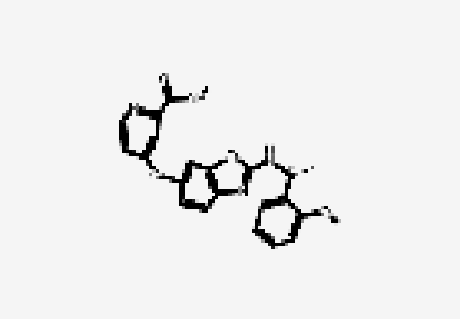 CNC(=O)c1cc(Oc2ccc3nc(N[C@H](C)c4ccccc4OC)oc3c2)ccn1